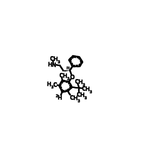 [2H]c1c(C)c(C)c(O[C@H](CCNC)c2ccccc2)c(C(C)(C)C)c1C